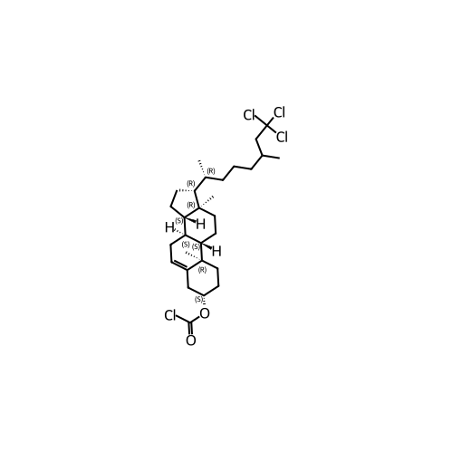 CC(CCC[C@@H](C)[C@H]1CC[C@H]2[C@@H]3CC=C4C[C@@H](OC(=O)Cl)CC[C@]4(C)[C@H]3CC[C@]12C)CC(Cl)(Cl)Cl